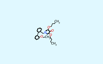 CCCCOc1cn(Cc2ccccc2-c2ccccc2OCC)cc(OCCCC)c1=O